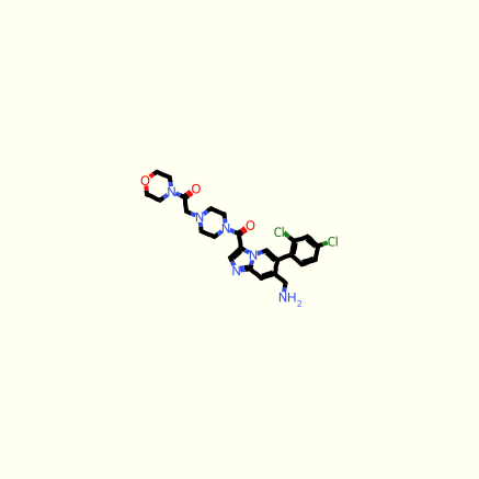 NCc1cc2ncc(C(=O)N3CCN(CC(=O)N4CCOCC4)CC3)n2cc1-c1ccc(Cl)cc1Cl